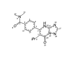 CC(C)c1c(-c2ccc(C(=O)N(C)C)cc2)[nH]c2ncnn2c1=O